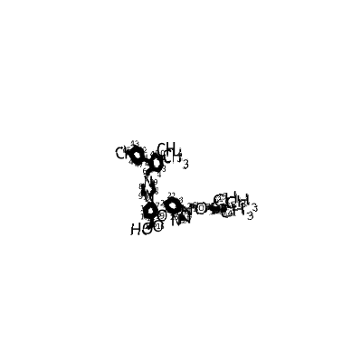 CC1(C)CCC(CN2CCN(c3ccc(C(=O)O)c(Oc4cccc5c4nnn5COCC[Si](C)(C)C)c3)CC2)=C(c2ccc(Cl)cc2)C1